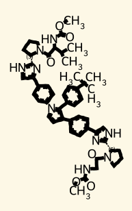 COC(=O)NCC(=O)N1CCC[C@H]1c1nc(-c2ccc(-c3ccn(-c4ccc(-c5c[nH]c([C@@H]6CCCN6C(=O)C(NC(=O)OC)C(C)C)n5)cc4)c3-c3ccc(C(C)(C)C)cc3)cc2)c[nH]1